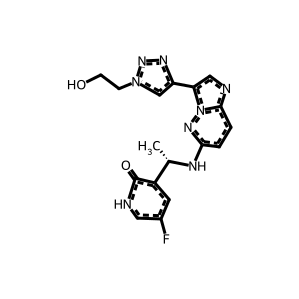 C[C@H](Nc1ccc2ncc(-c3cn(CCO)nn3)n2n1)c1cc(F)c[nH]c1=O